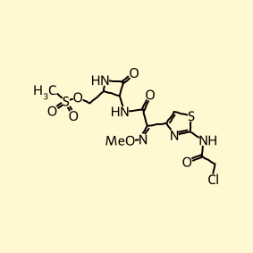 CON=C(C(=O)NC1C(=O)NC1COS(C)(=O)=O)c1csc(NC(=O)CCl)n1